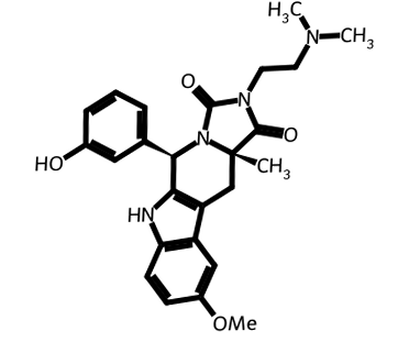 COc1ccc2[nH]c3c(c2c1)C[C@@]1(C)C(=O)N(CCN(C)C)C(=O)N1[C@@H]3c1cccc(O)c1